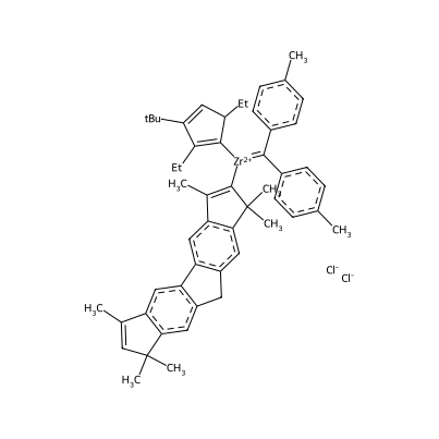 CCC1=[C]([Zr+2]([C]2=C(C)c3cc4c(cc3C2(C)C)Cc2cc3c(cc2-4)C(C)=CC3(C)C)=[C](c2ccc(C)cc2)c2ccc(C)cc2)C(CC)C=C1C(C)(C)C.[Cl-].[Cl-]